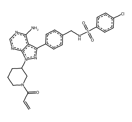 C=CC(=O)N1CCCC(n2nc(-c3ccc(CNS(=O)(=O)c4ccc(Cl)cc4)cc3)c3c(N)ncnc32)C1